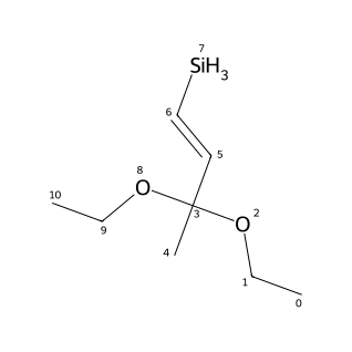 CCOC(C)(C=C[SiH3])OCC